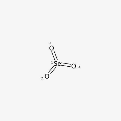 O=[Se](=O)=O